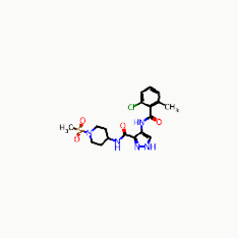 Cc1cccc(Cl)c1C(=O)Nc1c[nH]nc1C(=O)NC1CCN(S(C)(=O)=O)CC1